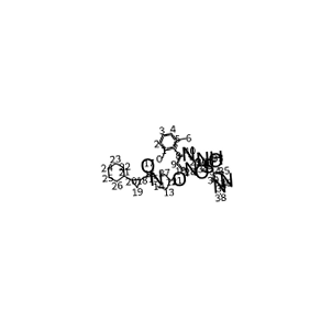 Cc1cccc(C)c1-c1cc(OC2CCN(C(=O)C3CC3C3CCCCC3)C2)nc(NS(=O)(=O)c2cnn(C)c2)n1